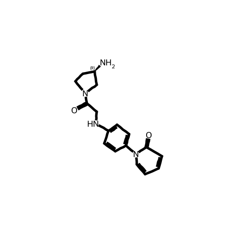 N[C@@H]1CCN(C(=O)CNc2ccc(-n3ccccc3=O)cc2)C1